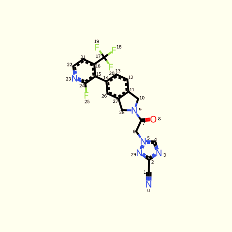 N#Cc1ncn(CC(=O)N2Cc3ccc(-c4c(C(F)(F)F)ccnc4F)cc3C2)n1